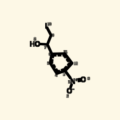 O=[N+]([O-])c1ccc(C(O)CI)cc1